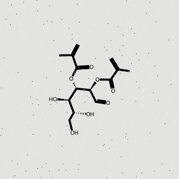 C=C(C)C(=O)O[C@@H]([C@H](O)[C@H](O)CO)[C@H](C=O)OC(=O)C(=C)C